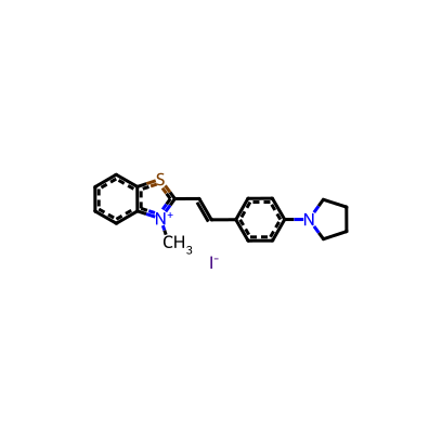 C[n+]1c(C=Cc2ccc(N3CCCC3)cc2)sc2ccccc21.[I-]